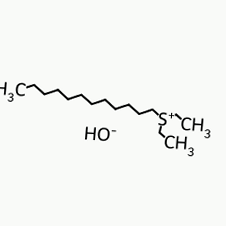 CCCCCCCCCCCC[S+](CC)CC.[OH-]